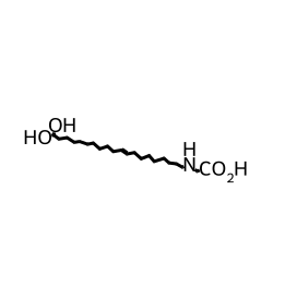 O=C(O)CNCCCCCCCCC=CCCCCCCCCCC(O)O